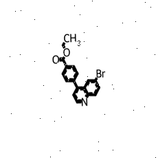 CCOC(=O)c1ccc(-c2ccnc3ccc(Br)cc23)cc1